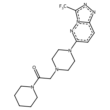 O=C(CN1CCN(c2ccc3nnc(C(F)(F)F)n3n2)CC1)N1CCCCC1